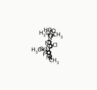 COCOc1c(-c2cc(Cl)c3cc(N4C[C@@H](C)N(C(=O)O)[C@@H](C)C4)cnc3n2)cc2cn(C)nc2c1F